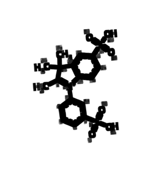 CC1=[N+](c2cccc(S(=O)(=O)O)c2)c2ccc(S(=O)(=O)O)cc2C1(C)C